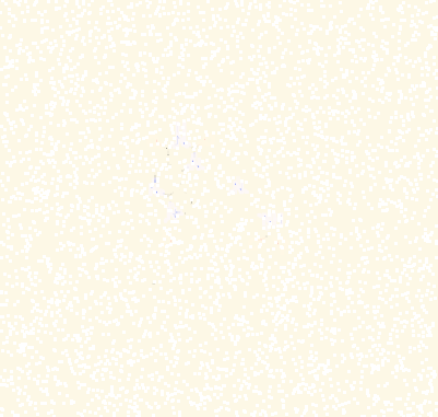 CC(C)(C)OC(=O)NCCN1CCC(n2c(=O)[nH]c(=O)c3cnc4c(ccn4COCC[Si](C)(C)C)c32)CC1